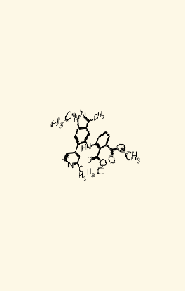 COC(=O)c1cccc(Nc2cc3c(C)nn(C)c3cc2-c2ccnc(C)c2)c1C(=O)OC